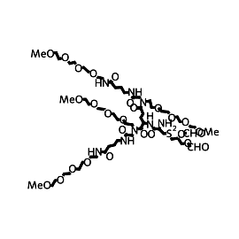 COCCOCCOCCOCCNC(=O)CCCNC(=O)CN(CCOCCOCCOCCOC)C(=O)CCC(NC(=O)C(N)CSCC(COC=O)OC=O)C(=O)N(CCOCCOCCOCCOC)CC(=O)NCCCC(=O)NCCOCCOCCOCCOC